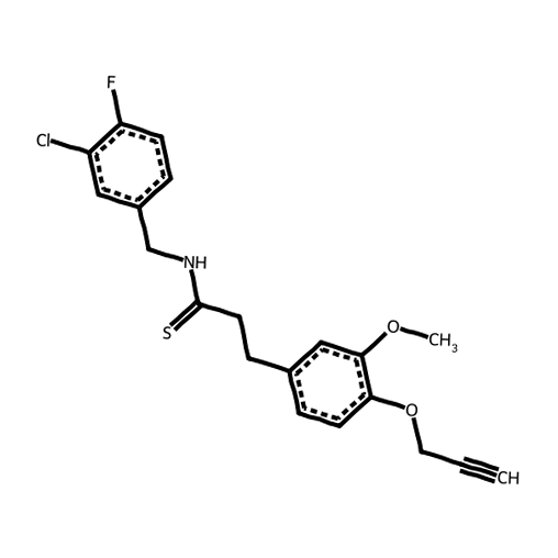 C#CCOc1ccc(CCC(=S)NCc2ccc(F)c(Cl)c2)cc1OC